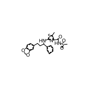 Cc1sc(NC(CCc2ccc3c(c2)OCO3)c2ccccc2)nc1C(=O)NS(C)(=O)=O